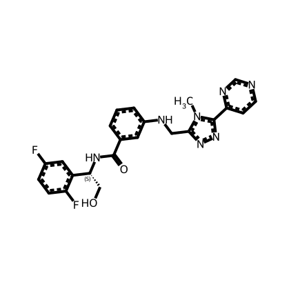 Cn1c(CNc2cccc(C(=O)N[C@H](CO)c3cc(F)ccc3F)c2)nnc1-c1ccncn1